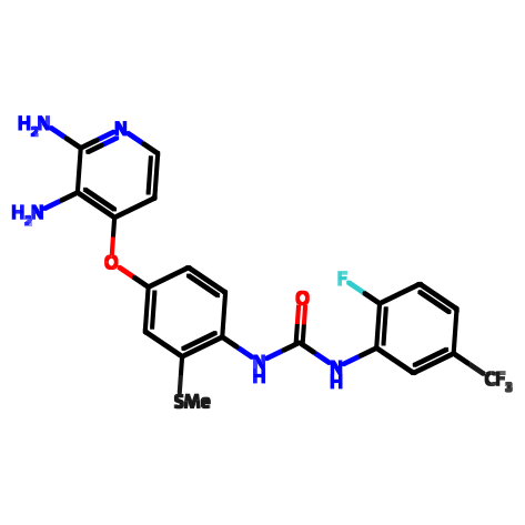 CSc1cc(Oc2ccnc(N)c2N)ccc1NC(=O)Nc1cc(C(F)(F)F)ccc1F